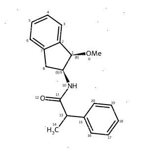 CO[C@@H]1c2ccccc2C[C@@H]1NC(=O)C(C)c1ccccc1